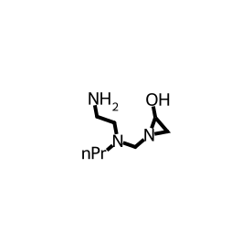 CCCN(CCN)CN1CC1O